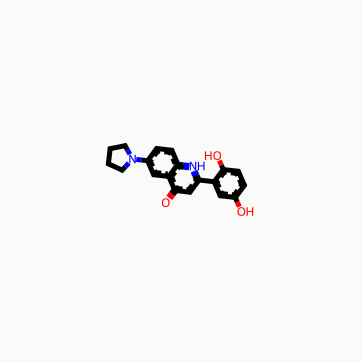 O=c1cc(-c2cc(O)ccc2O)[nH]c2ccc(N3CCCC3)cc12